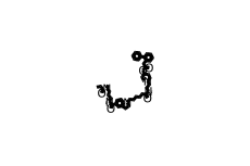 CCC(=O)N(C)CCCN(C)C(=O)c1ccc2c(c1)CCN2CCCCCC(=O)N(C)CCN1CCC(OC(=O)Cc2ccccc2-c2ccccc2)CC1